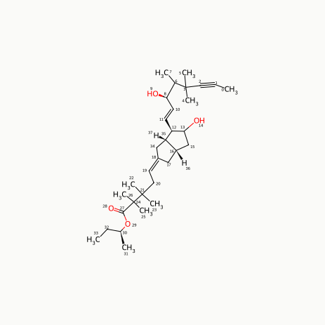 CC#CC(C)(C)C(C)[C@H](O)/C=C/[C@H]1C(O)C[C@@H]2C/C(=C\CC(C)(C)C(C)(C)C(=O)O[C@@H](C)CC)C[C@@H]21